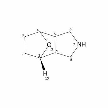 C1C[C@@H]2OC1C1CNCC12